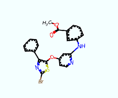 COC(=O)c1cccc(Nc2cc(Oc3sc(Br)nc3-c3ccccc3)ccn2)c1